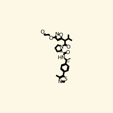 Cc1ncsc1-c1ccc([C@H](C)NC(=O)[C@@H]2CCCN2C(=O)C(c2cc(OCC=O)no2)C(C)C)cc1